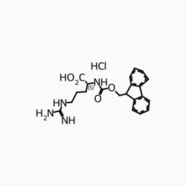 Cl.N=C(N)NCCC[C@H](NC(=O)OCC1c2ccccc2-c2ccccc21)C(=O)O